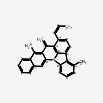 C=c1c2c(C)c3ccccc3cc2n2c3cccc(C)c3c3ccc(/C=C\C)c1c32